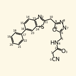 N#CCC(=O)NCc1nnc(Cc2nc3ccc(-c4ccccc4)cc3s2)o1